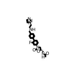 CC(=O)NC[C@H]1CN(c2ccc(-c3ccc(CNCCn4ccnn4)cc3)c(F)c2)C(=O)O1